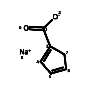 O=C([O-])C1=CC=CC1.[Na+]